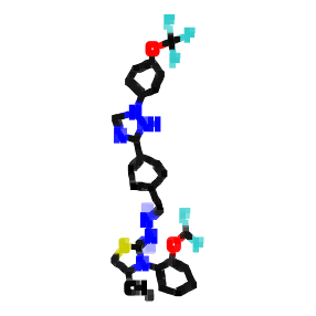 CC1CS/C(=N\N=C\c2ccc(C3N=CN(c4ccc(OC(F)(F)F)cc4)N3)cc2)N1c1ccccc1OC(F)F